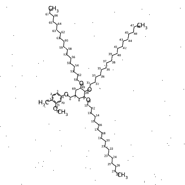 [CH2]c1ccc(OCC2CC(OCCCCCCCCCCCCCCCCCC)C(OCCCCCCCCCCCCCCCCCC)C(OCCCCCCCCCCCCCCCCCC)C2)cc1OC